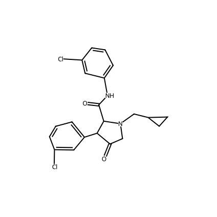 O=C1CN(CC2CC2)C(C(=O)Nc2cccc(Cl)c2)C1c1cccc(Cl)c1